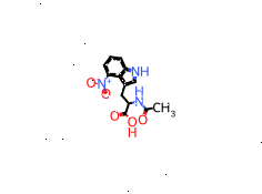 CC(=O)NC(Cc1c[nH]c2cccc([N+](=O)[O-])c12)C(=O)O